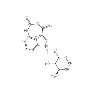 C[C@H](O)[C@H](O)[C@@H](CO)OCn1cc2c3c(ncnc31)NC(=O)CC2=O